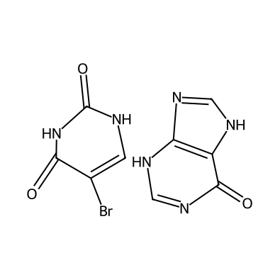 O=c1[nH]cc(Br)c(=O)[nH]1.O=c1nc[nH]c2nc[nH]c12